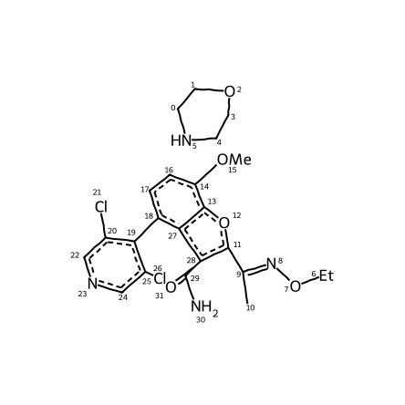 C1COCCN1.CCON=C(C)c1oc2c(OC)ccc(-c3c(Cl)cncc3Cl)c2c1C(N)=O